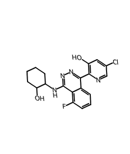 Oc1cc(Cl)cnc1-c1nnc(NC2CCCCC2O)c2c(F)cccc12